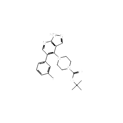 CC(C)(C)OC(=O)N1CCN(c2c(-c3cccc(I)c3)cnc3[nH]ncc23)CC1